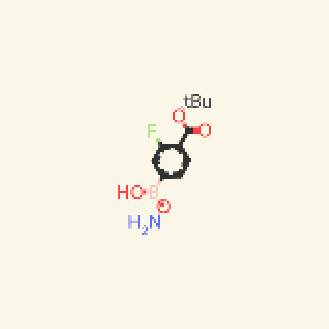 CC(C)(C)OC(=O)c1ccc(B(O)ON)cc1F